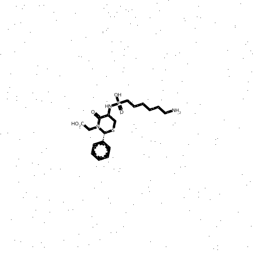 NCCCCCCP(=O)(O)NC1CS[C@H](c2ccccc2)N(CC(=O)O)C1=O